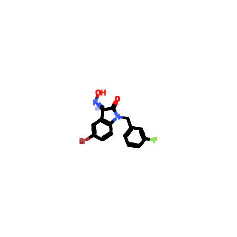 O=C1/C(=N\O)c2cc(Br)ccc2N1Cc1cccc(F)c1